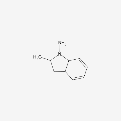 CC1CC2C=CC=CC2N1N